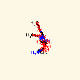 C=C1N=C(N)C=CN1C1OC(COP(=O)(O)O[C@@]2(C=O)C[C@@H](O)[C@@H](NCCNC(=O)C(CCCCNC(=O)OCCOCCOC)NC(=O)OCCOCCOC)C([C@H](O)[C@H](O)CO)O2)[C@@H](O)[C@H]1O